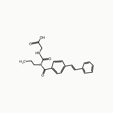 CCCN(C(=O)NCC(=O)O)C(=O)c1ccc(/C=C/c2ccccc2)cc1